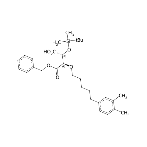 Cc1ccc(CCCCCO[C@@H](C(=O)OCc2ccccc2)[C@@H](O[Si](C)(C)C(C)(C)C)C(=O)O)cc1C